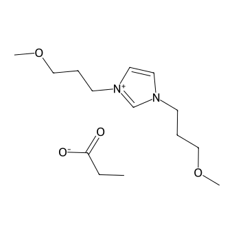 CCC(=O)[O-].COCCCn1cc[n+](CCCOC)c1